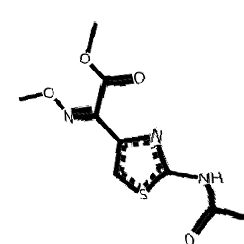 CON=C(C(=O)OC)c1csc(NC(C)=O)n1